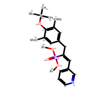 COc1cc(CC(=Cc2cccnc2)P(=O)(OC(C)C)OC(C)C)cc(OC)c1O[Si](C)(C)C(C)(C)C